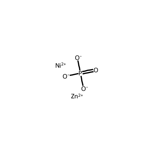 O=P([O-])([O-])[O-].[Ni+2].[Zn+2]